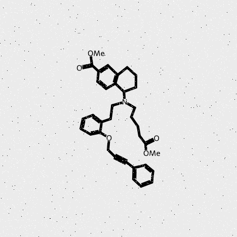 COC(=O)CCCCN(CCc1ccccc1OCC#Cc1ccccc1)C1CCCc2cc(C(=O)OC)ccc21